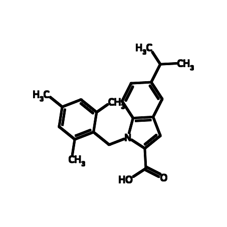 Cc1cc(C)c(Cn2c(C(=O)O)cc3cc(C(C)C)ccc32)c(C)c1